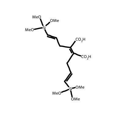 CO[Si](/C=C/C/C(C(=O)O)=C(\C/C=C/[Si](OC)(OC)OC)C(=O)O)(OC)OC